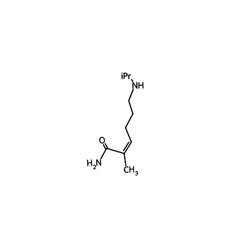 CC(=CCCCNC(C)C)C(N)=O